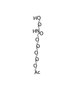 CC(=O)CCOCCOCCOCCOCCOCCC(=O)NCCOCCO